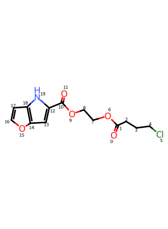 O=C(CCCCl)OCCOC(=O)c1cc2occc2[nH]1